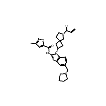 C=CC(=O)N1CC[C@]2(C1)C[C@H](n1c(NC(=O)c3cc(C)no3)nc3cc(CN4CCCC4)ccc31)C2